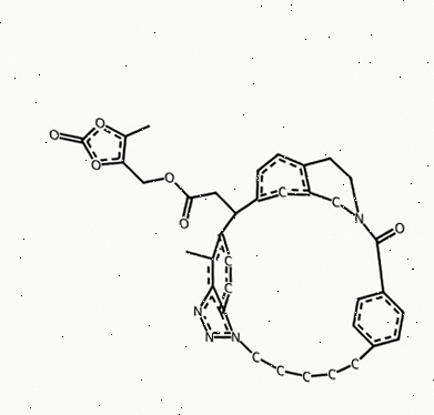 Cc1oc(=O)oc1COC(=O)CC1c2ccc3c(c2)CN(CC3)C(=O)c2ccc(cc2)CCCCCn2nnc3c(C)c1ccc32